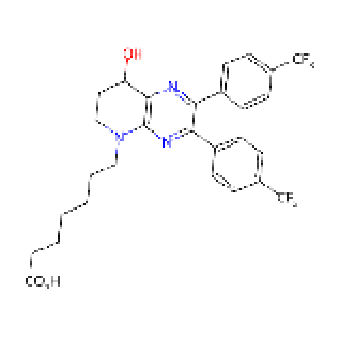 O=C(O)CCCCCCN1CCC(O)c2nc(-c3ccc(C(F)(F)F)cc3)c(-c3ccc(C(F)(F)F)cc3)nc21